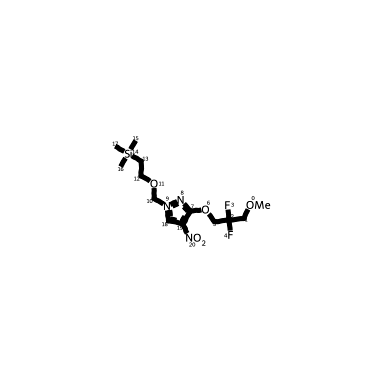 COCC(F)(F)COc1nn(COCC[Si](C)(C)C)cc1[N+](=O)[O-]